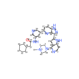 CN1CCN(c2nccc3[nH]c(-c4n[nH]c5ccc(-c6cncc(NC(=O)CC7CCCCC7)c6)nc45)cc23)CC1